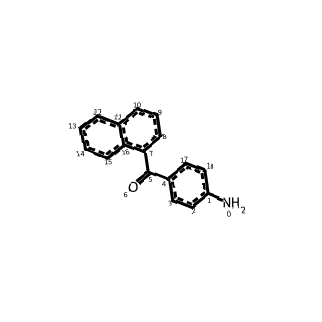 Nc1ccc(C(=O)c2cccc3ccccc23)cc1